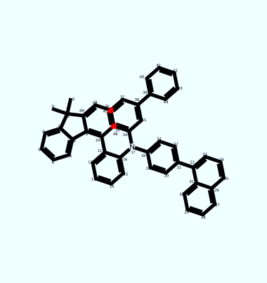 CC1(C)c2ccccc2-c2c(-c3ccccc3N(c3ccc(-c4cccc5ccccc45)cc3)c3cccc(-c4ccccc4)c3)cccc21